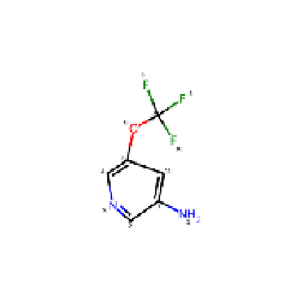 Nc1cncc(OC(F)(F)F)c1